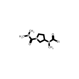 CCC(=O)N(C)C1CCN(C(=O)N(C)C)C1